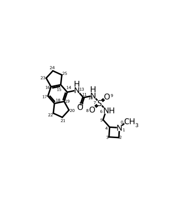 CN1CCC1CNS(=O)(=O)NC(=O)Nc1c2c(cc3c1CCC3)CCC2